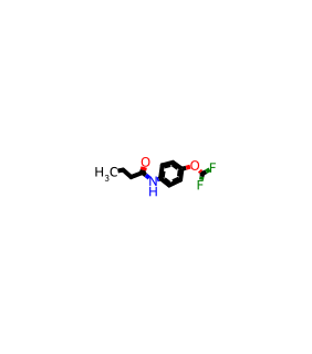 CCCC(=O)Nc1ccc(OC(F)F)cc1